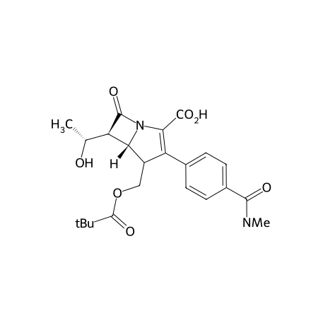 CNC(=O)c1ccc(C2=C(C(=O)O)N3C(=O)[C@H]([C@@H](C)O)[C@H]3C2COC(=O)C(C)(C)C)cc1